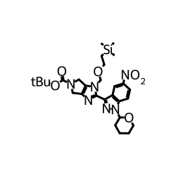 CC(C)(C)OC(=O)N1Cc2nc(-c3nn(C4CCCCO4)c4ccc([N+](=O)[O-])cc34)n(COCC[Si](C)(C)C)c2C1